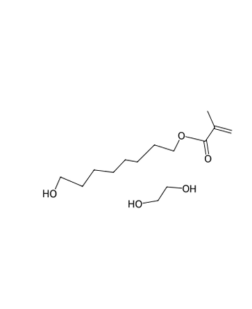 C=C(C)C(=O)OCCCCCCCCO.OCCO